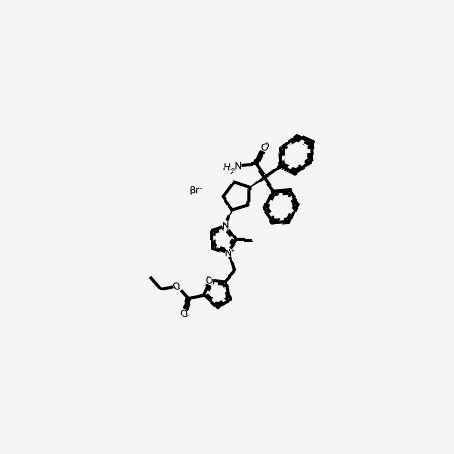 CCOC(=O)c1ccc(C[n+]2ccn([C@H]3CC[C@@H](C(C(N)=O)(c4ccccc4)c4ccccc4)C3)c2C)o1.[Br-]